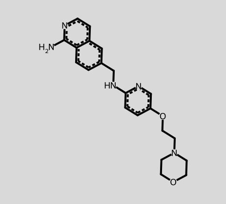 Nc1nccc2cc(CNc3ccc(OCCN4CCOCC4)cn3)ccc12